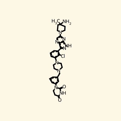 CC1(N)CCN(c2cnc3c(-c4cccc(N5CCN(Cc6cccc(N7CCC(=O)NC7=O)c6)CC5)c4Cl)n[nH]c3n2)CC1